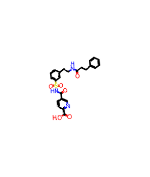 O=C(CCc1ccccc1)NCCc1cccc(S(=O)(=O)NC(=O)c2ccc(C(=O)O)nc2)c1